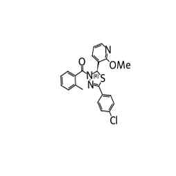 COc1ncccc1[C@H]1SC(c2ccc(Cl)cc2)=NN1C(=O)c1ccccc1C